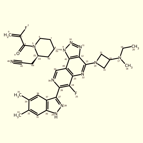 C=C(F)C(=O)N1CC[C@H](n2nnc3c(N4CC(N(C)CC)C4)nc4c(F)c(-c5n[nH]c6cc(C)c(C)cc56)ncc4c32)C[C@H]1CC#N